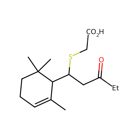 CCC(=O)CC(SCC(=O)O)C1C(C)=CCCC1(C)C